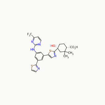 CC1(C)C[C@@](O)(c2ncc(-c3cc(Nc4nccc(C(F)(F)F)n4)cc(-c4nccs4)c3)s2)CC[C@@H]1C(=O)O